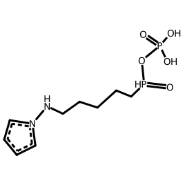 O=[PH](CCCCCNn1cccc1)OP(=O)(O)O